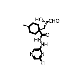 C[C@H]1CC[C@](CN(O)C=O)(C(=O)NNc2cncc(Cl)n2)CC1